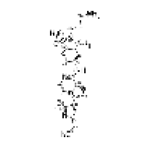 Cc1cc(Nc2nccn3c(-c4cn(CC#N)nc4C(F)(F)F)cnc23)ccc1S(C)(=O)=NCCCN